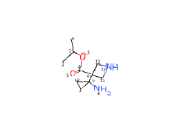 CC(C)OC(=O)C1(C2(N)CC2)CNC1